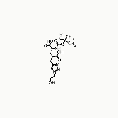 CC(C)(C)OC(=O)N[C@H](C[C@H](Cc1cn(CCO)nn1)C(=O)O)C(=O)O